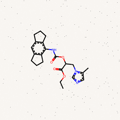 CCOC(=O)C(Cn1cncc1C)OC(=O)Nc1c2c(cc3c1CCC3)CCC2